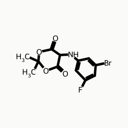 CC1(C)OC(=O)C(Nc2cc(F)cc(Br)c2)C(=O)O1